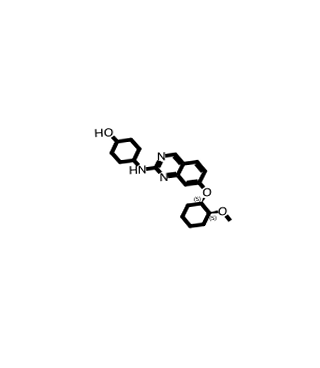 CO[C@H]1CCCC[C@@H]1Oc1ccc2cnc(NC3CCC(O)CC3)nc2c1